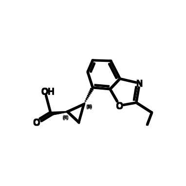 CCc1nc2cccc([C@@H]3C[C@H]3C(=O)O)c2o1